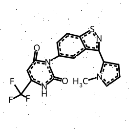 Cn1cccc1-c1nsc2ccc(-n3c(=O)cc(C(F)(F)F)[nH]c3=O)cc12